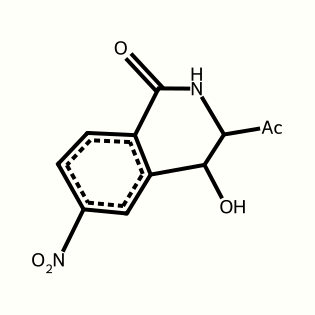 CC(=O)C1NC(=O)c2ccc([N+](=O)[O-])cc2C1O